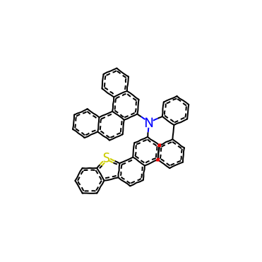 c1ccc(-c2ccccc2N(c2ccc3ccc4c5ccccc5sc4c3c2)c2cc3ccccc3c3c2ccc2ccccc23)cc1